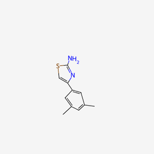 Cc1cc(C)cc(-c2csc(N)n2)c1